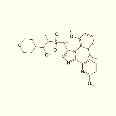 COc1cccc(-c2nnc(NS(=O)(=O)C(C)C(O)C3CCOCC3)n2-c2c(OC)cccc2OC)n1